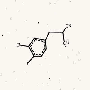 N#CC(C#N)Cc1ccc(I)c(Cl)c1